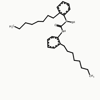 CCCCCCCCc1ccccc1NC(=O)N(S)c1ccccc1CCCCCCCC